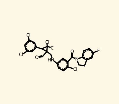 O=CC1(CNc2ccc(Cl)c(C(=O)N3CCc4cc(F)ccc43)c2)C(c2cc(Cl)cc(Cl)c2)C1(Cl)Cl